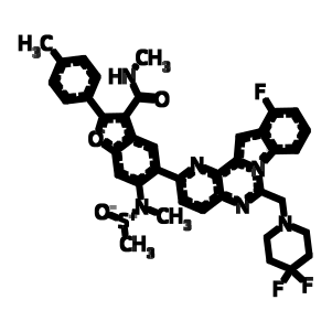 CNC(=O)c1c(-c2ccc(C)cc2)oc2cc(N(C)[S+](C)[O-])c(-c3ccc4nc(CN5CCC(F)(F)CC5)n5c6cccc(F)c6cc5c4n3)cc12